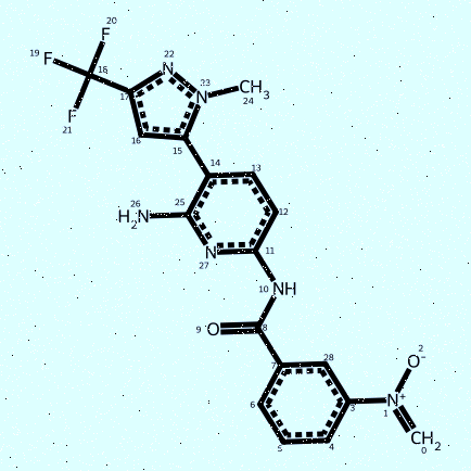 C=[N+]([O-])c1cccc(C(=O)Nc2ccc(-c3cc(C(F)(F)F)nn3C)c(N)n2)c1